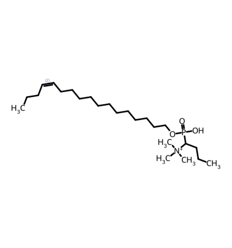 CCC/C=C\CCCCCCCCCCCCOP(=O)(O)C(CCC)[N+](C)(C)C